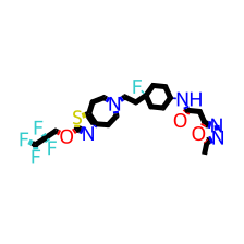 Cc1nnc(CC(=O)N[C@H]2CC[C@](F)(CCN3CCc4nc(OCC(F)(F)C(F)F)sc4CC3)CC2)o1